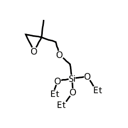 CCO[Si](COCC1(C)CO1)(OCC)OCC